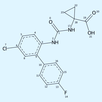 O=C(Nc1ccc(Cl)cc1-c1ccc(F)cc1)NC1(C(=O)O)CC1